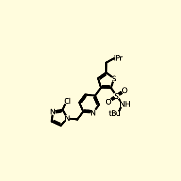 CC(C)Cc1cc(-c2ccc(Cn3ccnc3Cl)nc2)c(S(=O)(=O)NC(C)(C)C)s1